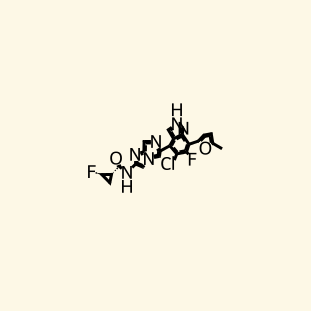 Cc1ccc(-c2c(F)c(Cl)c(-c3cn4cc(NC(=O)[C@@H]5C[C@@H]5F)nc4cn3)c3c[nH]nc23)o1